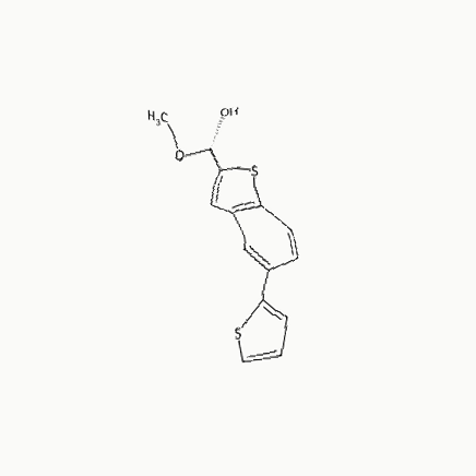 CO[C@H](O)c1cc2cc(-c3cccs3)ccc2s1